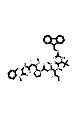 CC[C@H](C)[C@@H]([C@@H](CC(=O)N1CCC[C@H]1[C@H](OC)[C@@H](C)C(=O)N[C@@H](Cc1ccccc1)C(=O)OC)OC)N(C)C(=O)[C@@H](NC(=O)OCC1c2ccccc2-c2ccccc21)C(C)(C)C